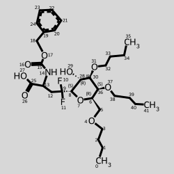 CCCCOC[C@H]1O[C@H](C(F)(F)CC(NC(=O)OCc2ccccc2)C(=O)O)[C@H](O)[C@@H](OCCCC)[C@H]1OCCCC